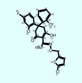 CCCCC(=NOCc1ccc(Cl)s1)C1=C(O)CC(c2ccc(F)cc2Cl)(c2ccccc2C(F)(F)F)CC1=O